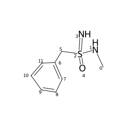 CNS(=N)(=O)Cc1ccccc1